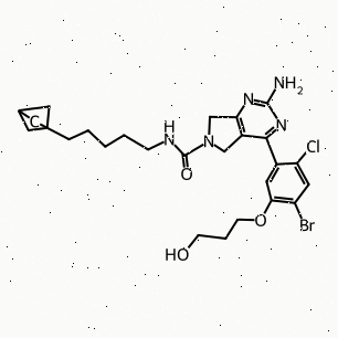 Nc1nc2c(c(-c3cc(OCCCO)c(Br)cc3Cl)n1)CN(C(=O)NCCCCCC13CC(C1)C3)C2